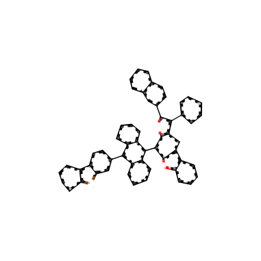 c1ccc(-c2c(-c3ccc4ccccc4c3)oc3c(-c4c5ccccc5c(-c5ccc6c(c5)sc5ccccc56)c5ccccc45)c4oc5ccccc5c4cc23)cc1